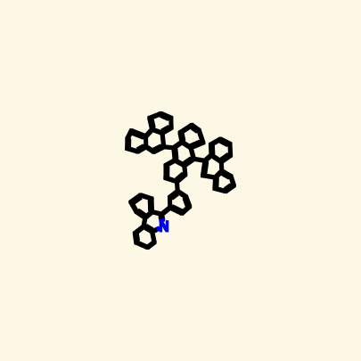 C1=Cc2c(nc(-c3cccc(-c4ccc5c(-c6cc7ccccc7c7ccccc67)c6ccccc6c(-c6cc7ccccc7c7ccccc67)c5c4)c3)c3ccccc23)CC1